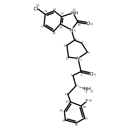 N[C@@H](CC(=O)N1CCC(n2c(=O)[nH]c3cc(Cl)ccc32)CC1)Cc1ccccc1F